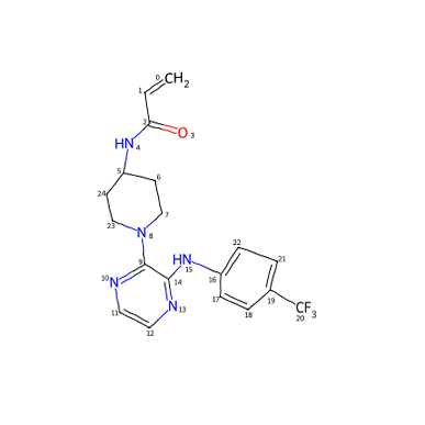 C=CC(=O)NC1CCN(c2nccnc2Nc2ccc(C(F)(F)F)cc2)CC1